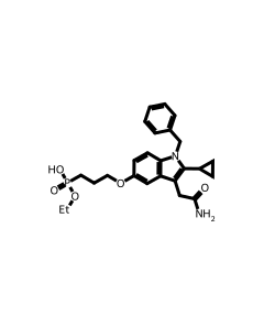 CCOP(=O)(O)CCCOc1ccc2c(c1)c(CC(N)=O)c(C1CC1)n2Cc1ccccc1